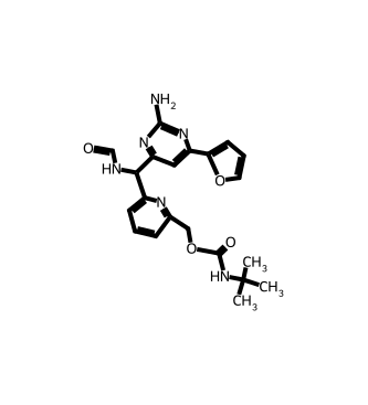 CC(C)(C)NC(=O)OCc1cccc(C(NC=O)c2cc(-c3ccco3)nc(N)n2)n1